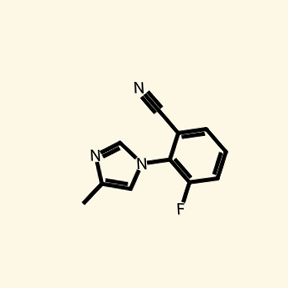 Cc1cn(-c2c(F)cccc2C#N)cn1